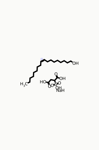 CCCCCCCC/C=C\CCCCCCCCO.O=C(O)CC(C(=O)O)S(=O)(=O)O.[NaH]